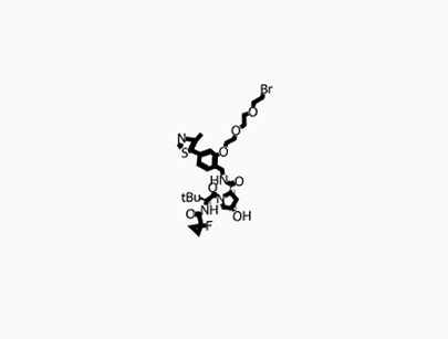 Cc1ncsc1-c1ccc(CNC(=O)[C@@H]2C[C@@H](O)CN2C(=O)[C@@H](NC(=O)C2(F)CC2)C(C)(C)C)c(OCCOCCOCCBr)c1